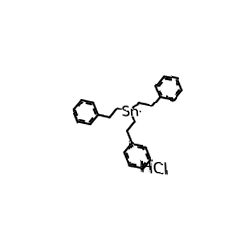 Cl.c1ccc(C[CH2][Sn]([CH2]Cc2ccccc2)[CH2]Cc2ccccc2)cc1